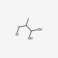 CCOC(C)C(O)O